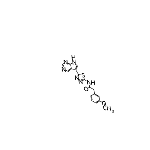 COc1cccc(CC(=O)Nc2nnc(-c3c[nH]c4ncncc34)s2)c1